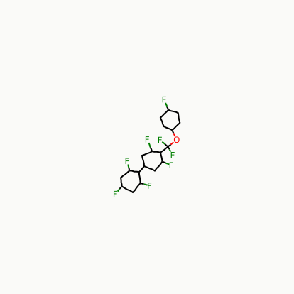 FC1CCC(OC(F)(F)C2C(F)CC(C3C(F)CC(F)CC3F)CC2F)CC1